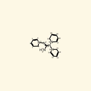 N/C(=N\N1C=CC=CC1)N(N1C=CC=CC1)N1C=CC=CC1